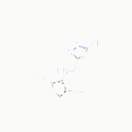 Cc1nnc(CNc2c(C)csc2C)s1